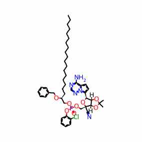 CCCCCCCCCCCCCCCCCC[C@@H](COP(=O)(OC[C@@]1(C#N)O[C@@H](c2ccc3c(N)ncnn23)[C@@H]2OC(C)(C)O[C@@H]21)Oc1ccccc1Cl)OCc1ccccc1